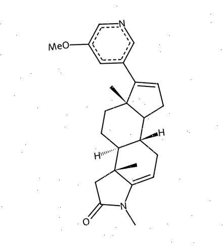 COc1cncc(C2=CCC3[C@@H]4CC=C5N(C)C(=O)C[C@]5(C)[C@H]4CC[C@]23C)c1